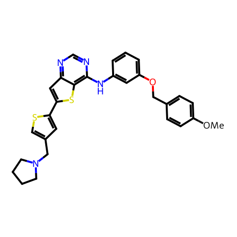 COc1ccc(COc2cccc(Nc3ncnc4cc(-c5cc(CN6CCCC6)cs5)sc34)c2)cc1